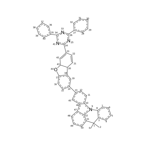 CC1(C)c2ccccc2-n2c3ccc(-c4ccc5c(c4)C4C=CC(c6nc(-c7ccccc7)nc(-c7ccccc7)n6)=CC4O5)cc3c3cccc1c32